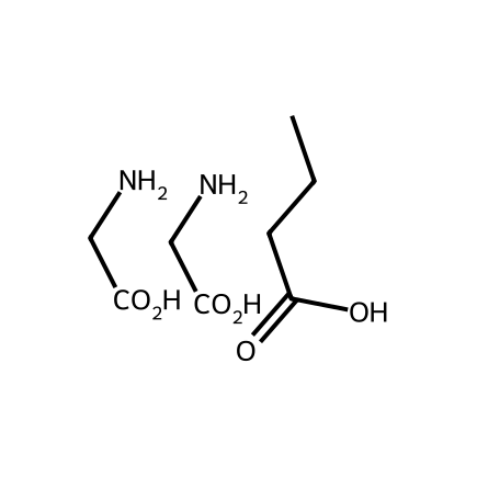 CCCC(=O)O.NCC(=O)O.NCC(=O)O